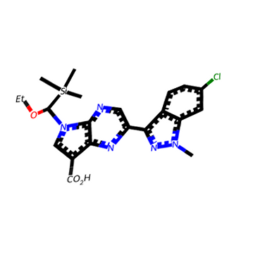 CCOC(n1cc(C(=O)O)c2nc(-c3nn(C)c4cc(Cl)ccc34)cnc21)[Si](C)(C)C